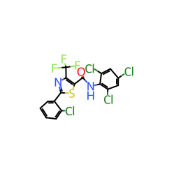 O=C(Nc1c(Cl)cc(Cl)cc1Cl)c1sc(-c2ccccc2Cl)nc1C(F)(F)F